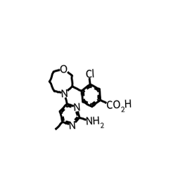 Cc1cc(N2CCCOCC2c2ccc(C(=O)O)cc2Cl)nc(N)n1